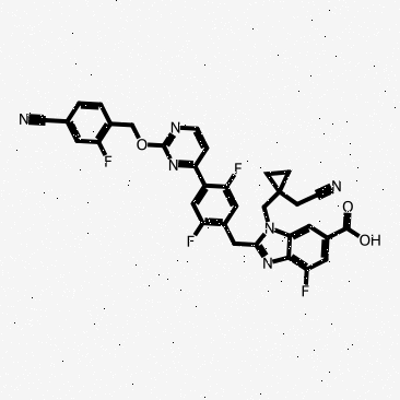 N#CCC1(Cn2c(Cc3cc(F)c(-c4ccnc(OCc5ccc(C#N)cc5F)n4)cc3F)nc3c(F)cc(C(=O)O)cc32)CC1